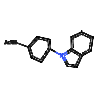 CC(=O)Nc1ccc(-n2ccc3cc[c]cc32)cc1